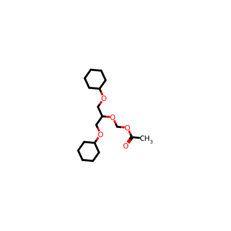 CC(=O)OCOC(COC1CCCCC1)COC1CCCCC1